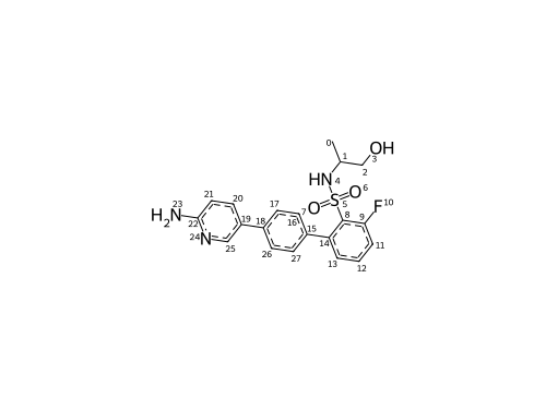 CC(CO)NS(=O)(=O)c1c(F)cccc1-c1ccc(-c2ccc(N)nc2)cc1